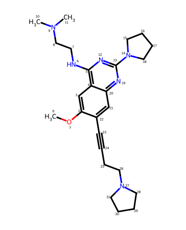 COc1cc2c(NCCN(C)C)nc(N3CCCC3)nc2cc1C#CCCN1CCCC1